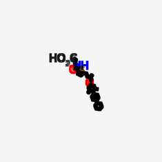 Cc1cc(OCC(C)CCc2ccc(C(=O)NCCC(=O)O)s2)cc(C)c1-c1ccc(C2CCCCC2)cc1